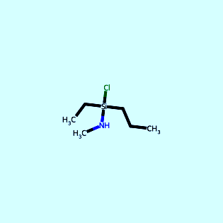 CCC[Si](Cl)(CC)NC